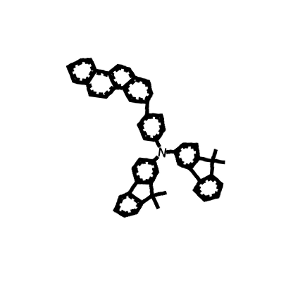 CC1(C)c2ccccc2-c2cc(N(c3ccc(-c4ccc5ccc6c7ccccc7ccc6c5c4)cc3)c3ccc4c(c3)C(C)(C)c3ccccc3-4)ccc21